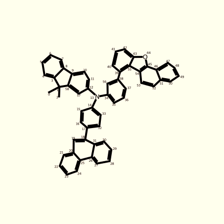 CC1(C)c2ccccc2-c2ccc(N(c3ccc(-c4cc5ccccc5c5ccccc45)cc3)c3cccc(-c4cccc5oc6c7ccccc7ccc6c45)c3)cc21